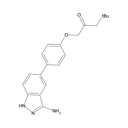 CC(C)(C)CC(=O)COc1ccc(-c2ccc3[nH]nc(N)c3c2)cc1